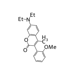 CCN(CC)c1ccc2c(C)c(-c3ccccc3OC)c(=O)oc2c1